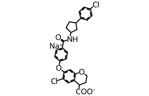 O=C(NC1CCC(c2ccc(Cl)cc2)C1)c1ccc(Oc2cc3c(cc2Cl)C(C(=O)[O-])CCO3)cc1.[Na+]